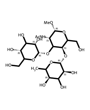 CO[C@@H]1OC(CO)[C@@H](O[C@H]2OC(C)[C@H](O)C(O)[C@@H]2O)C(O[C@@H]2OC(CO)[C@H](O)C(O)[C@@H]2O)[C@@H]1NC(C)=O